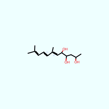 CC(C)=C/C=C/C(C)=C/C(O)C(O)CC(C)O